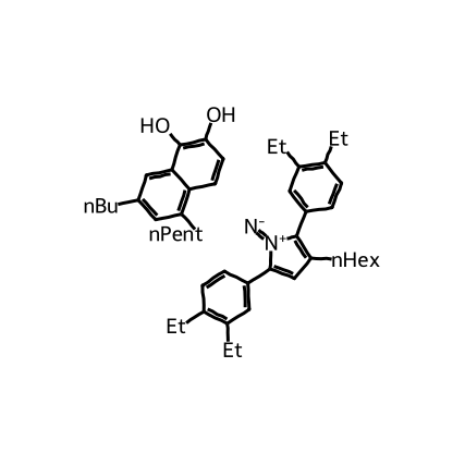 CCCCCCC1=C(c2ccc(CC)c(CC)c2)[N+](=[N-])C(c2ccc(CC)c(CC)c2)=C1.CCCCCc1cc(CCCC)cc2c(O)c(O)ccc12